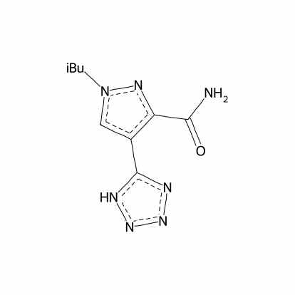 CCC(C)n1cc(-c2nnn[nH]2)c(C(N)=O)n1